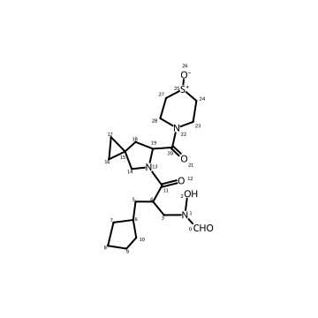 O=CN(O)CC(CC1CCCC1)C(=O)N1CC2(CC2)CC1C(=O)N1CC[S+]([O-])CC1